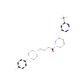 O=C(CCCN1CCN(c2ccc(Cl)cc2)CC1)N1CCC[C@H](Nc2cncc(C(F)(F)F)c2)C1